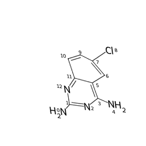 Nc1nc(N)c2cc(Cl)ccc2n1